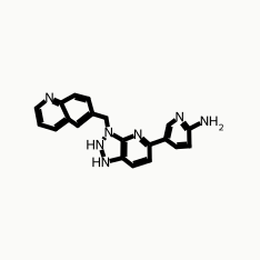 Nc1ccc(-c2ccc3c(n2)N(Cc2ccc4ncccc4c2)NN3)cn1